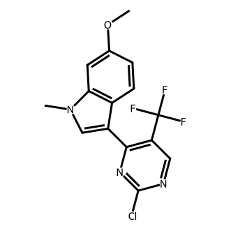 COc1ccc2c(-c3nc(Cl)ncc3C(F)(F)F)cn(C)c2c1